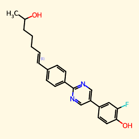 CC(O)CCC/C=C/c1ccc(-c2ncc(-c3ccc(O)c(F)c3)cn2)cc1